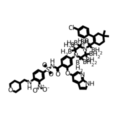 BC(B)(C1=C(c2ccc(Cl)cc2)CC(C)(C)CC1)N1C(B)(B)C(B)(B)N(c2ccc(C(=O)NS(=O)(=O)c3ccc(NCC4CCOCC4)c([N+](=O)[O-])c3)c(Oc3cnc4[nH]ccc4c3)c2)C(B)(B)C1(B)B